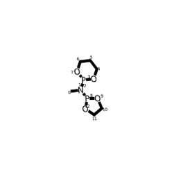 CN(P1OCCCO1)P1OCCO1